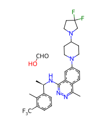 Cc1c([C@@H](C)Nc2nnc(C)c3ccc(N4CCC(N5CCC(F)(F)C5)CC4)cc23)cccc1C(F)(F)F.O=CO